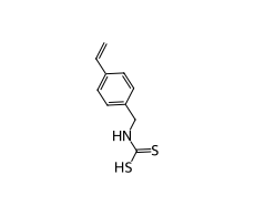 C=Cc1ccc(CNC(=S)S)cc1